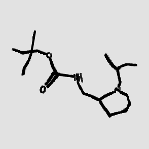 CC(C)N1CCC1CNC(=O)OC(C)(C)C